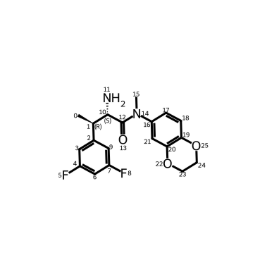 C[C@H](c1cc(F)cc(F)c1)[C@H](N)C(=O)N(C)c1ccc2c(c1)OCCO2